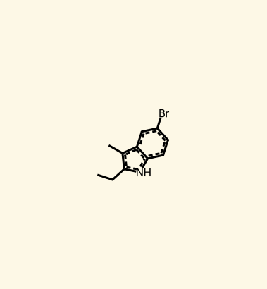 CCc1[nH]c2ccc(Br)cc2c1C